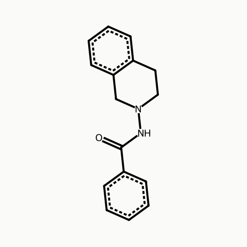 O=C(NN1CCc2ccccc2C1)c1ccccc1